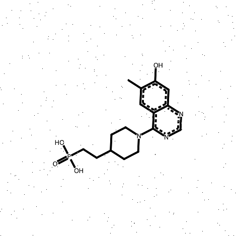 Cc1cc2c(N3CCC(CCP(=O)(O)O)CC3)ncnc2cc1O